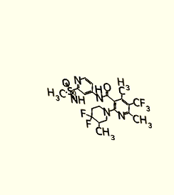 Cc1nc(N2CCC(F)(F)C(C)C2)c(C(=O)Nc2ccnc([S@](C)(=N)=O)c2)c(C)c1C(F)(F)F